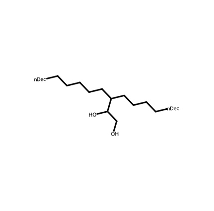 CCCCCCCCCCCCCCCC(CCCCCCCCCCCCCC)C(O)CO